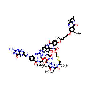 C=C1C[C@H]2C=Nc3cc(OCCCCCOc4cc5c(cc4OC)C(=O)N4CC(=C)C[C@H]4[C@H](O)N5C(=O)OCCSSC[C@H](NC(=O)[C@H](CC(=O)O)NC(=O)[C@H](CC(=O)O)NC(=O)[C@H](CCCNC(=N)N)NC(=O)[C@H](CC(=O)O)NC(=O)CC[C@H](NC(=O)c4ccc(NCc5cnc6nc(N)[nH]c(=O)c6n5)cc4)C(=O)O)C(=O)O)c(OC)cc3C(=O)N2C1